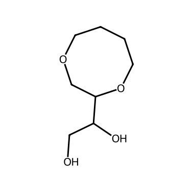 OCC(O)C1COCCCCO1